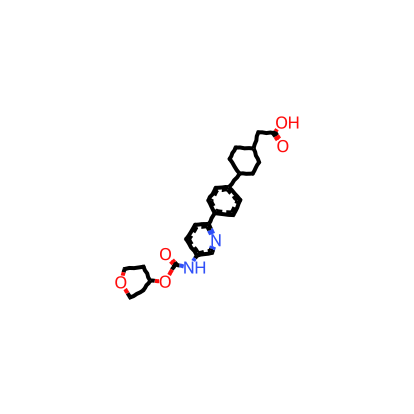 O=C(O)CC1CCC(c2ccc(-c3ccc(NC(=O)OC4CCOCC4)cn3)cc2)CC1